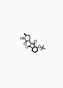 C=C1CCC(N2C(=O)c3cccc(OC(C)(C)C)c3C2=O)C(=O)N1